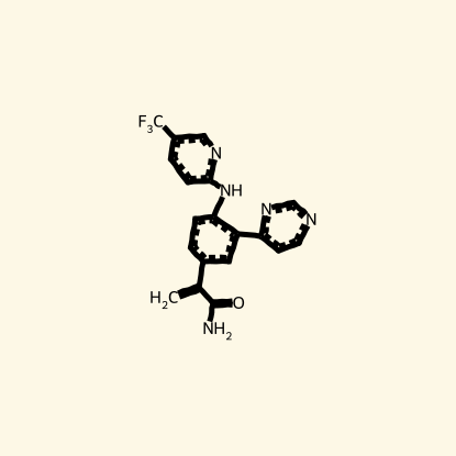 C=C(C(N)=O)c1ccc(Nc2ccc(C(F)(F)F)cn2)c(-c2ccncn2)c1